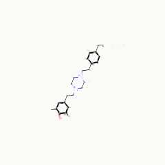 CCOC(=O)Cc1ccc(CCN2CCN(CCc3cc(C(C)(C)C)c(O)c(C(C)(C)C)c3)CC2)cc1